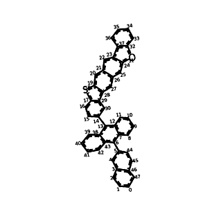 c1ccc2cc(-c3c4ccccc4c(-c4ccc5sc6cc7cc8c(cc7cc6c5c4)oc4ccccc48)c4ccccc34)ccc2c1